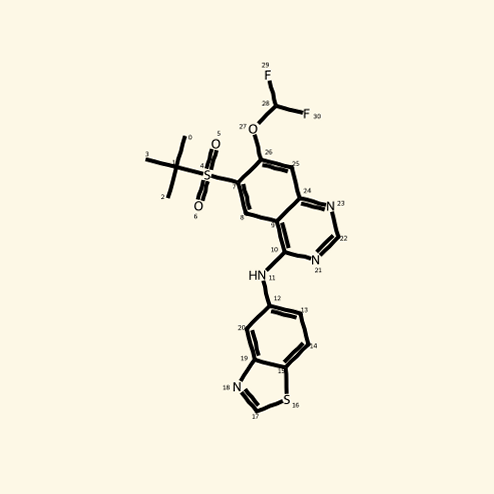 CC(C)(C)S(=O)(=O)c1cc2c(Nc3ccc4scnc4c3)ncnc2cc1OC(F)F